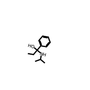 CCC(O)(NC(C)C)c1ccccc1